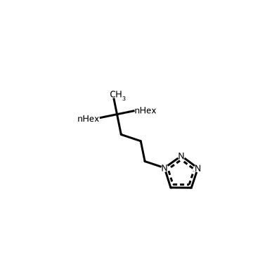 CCCCCCC(C)(CCCCCC)CCCn1ccnn1